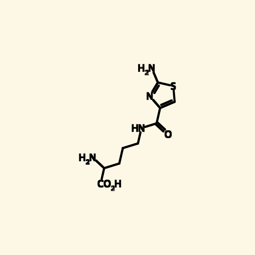 Nc1nc(C(=O)NCCCC(N)C(=O)O)cs1